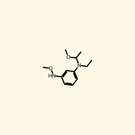 CCN(c1cccc(NOC)c1)C(C)OC